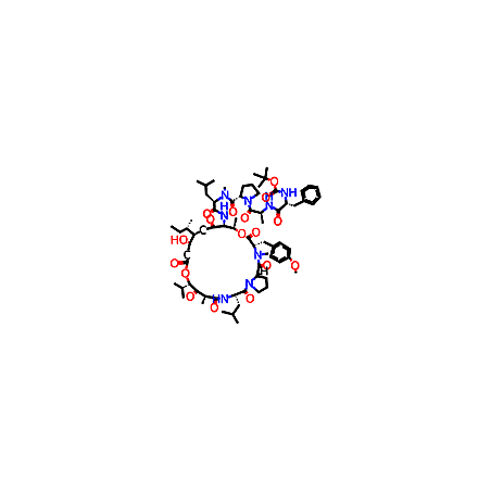 CC[C@H](C)[C@H]1CC(=O)[C@@H](NC(=O)[C@@H](CC(C)C)N(C)C(=O)[C@@H]2CCCN2C(=O)[C@H](C)NC(=O)[C@@H](Cc2ccccc2)NC(=O)OC(C)(C)C)[C@@H](C)OC(=O)[C@H](Cc2ccc(OC)cc2)N(C)C(=O)[C@@H]2CCCN2C(=O)[C@H](CC(C)C)NC(=O)[C@@H](C)C(=O)[C@H](C(C)C)OC(=O)C[C@@H]1O